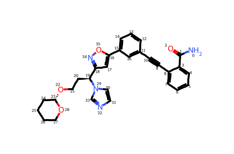 NC(=O)c1ccccc1C#Cc1cccc(-c2cc([C@H](CCO[C@H]3CCCCO3)n3ccnc3)no2)c1